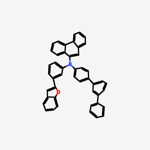 c1ccc(-c2cccc(-c3ccc(N(c4cccc(-c5cc6ccccc6o5)c4)c4cc5ccccc5c5ccccc45)cc3)c2)cc1